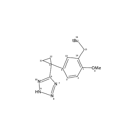 COc1ccc(C2(c3nn[nH]n3)CC2)cc1CC(C)(C)C